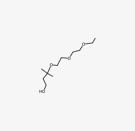 CCOCCOCCOC(C)(C)CCO